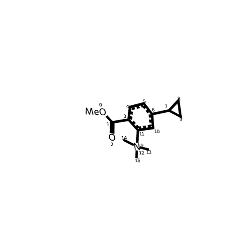 COC(=O)c1ccc(C2CC2)cc1[N+](C)(C)C